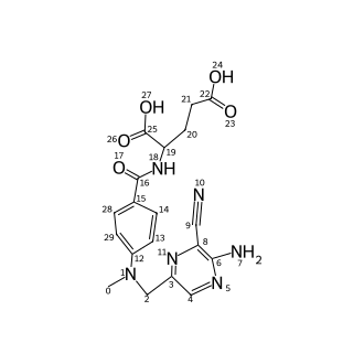 CN(Cc1cnc(N)c(C#N)n1)c1ccc(C(=O)NC(CCC(=O)O)C(=O)O)cc1